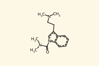 CN(C)CCc1cn(C(=O)N(C)C)c2ccccc12